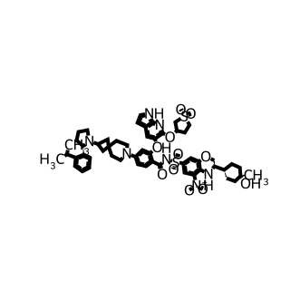 CC(C)c1ccccc1[C@@H]1CCCN1C1CC2(CCN(c3ccc(C(=O)NS(=O)(=O)c4cc5c(c([N+](=O)[O-])c4)N[C@@H]([C@H]4CC[C@](C)(O)CC4)CO5)c(Oc4cc5cc[nH]c5nc4OC4CCS(=O)(=O)C4)c3)CC2)C1